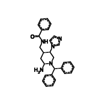 NC1CC(CNC(=O)c2ccccc2)C(n2ccnc2)CN1C(c1ccccc1)c1ccccc1